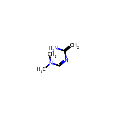 C=C(N)/N=C\N(C)C